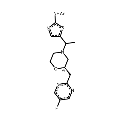 CC(=O)Nc1ncc(C(C)N2CCO[C@H](Cc3ncc(F)cn3)C2)s1